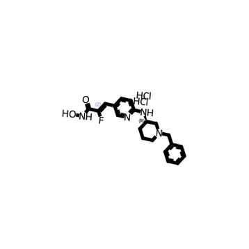 Cl.Cl.O=C(NO)/C(F)=C/c1ccc(N[C@@H]2CCCN(Cc3ccccc3)C2)nc1